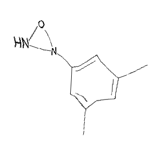 Cc1cc(C)cc(-n2[nH]o2)c1